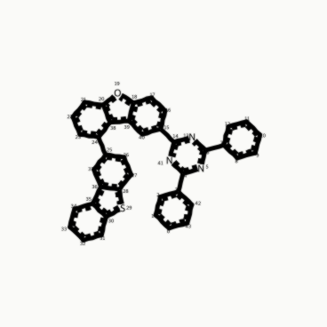 c1ccc(-c2nc(-c3ccccc3)nc(-c3ccc4oc5cccc(-c6ccc7sc8ccccc8c7c6)c5c4c3)n2)cc1